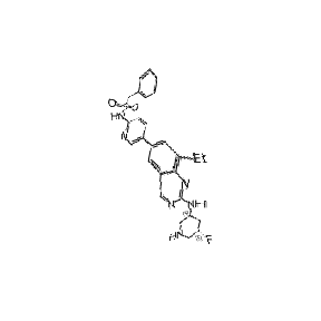 CCc1cc(-c2ccc(NS(=O)(=O)Cc3ccccc3)nc2)cc2cnc(N[C@@H]3CNC[C@@H](F)C3)nc12